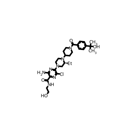 CC[C@H]1CN(c2nc(N)c(C(=O)NCCO)nc2Cl)CCN1C1CCN(C(=O)c2ccc(C(C)(C)O)cc2)CC1